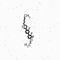 CCCCCCC1CCC(c2ccc(-c3ccc(OCCC)c(F)c3F)cc2F)CO1